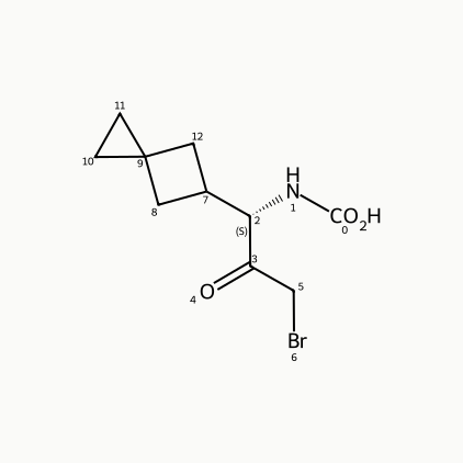 O=C(O)N[C@H](C(=O)CBr)C1CC2(CC2)C1